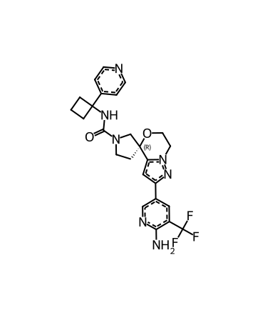 Nc1ncc(-c2cc3n(n2)CCO[C@@]32CCN(C(=O)NC3(c4ccncc4)CCC3)C2)cc1C(F)(F)F